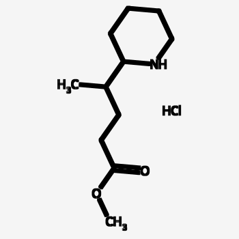 COC(=O)CCC(C)C1CCCCN1.Cl